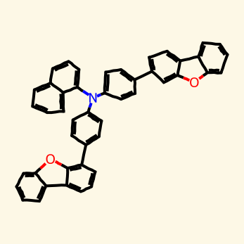 c1ccc2c(N(c3ccc(-c4ccc5c(c4)oc4ccccc45)cc3)c3ccc(-c4cccc5c4oc4ccccc45)cc3)cccc2c1